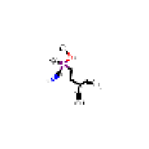 C#CC(C=C)CCP(=C)(C#N)OC